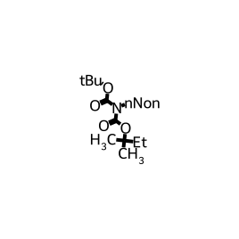 CCCCCCCCCN(C(=O)OC(C)(C)C)C(=O)OC(C)(C)CC